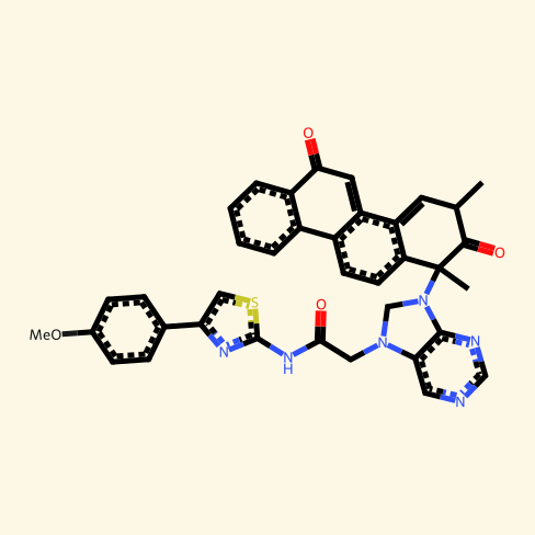 COc1ccc(-c2csc(NC(=O)CN3CN(C4(C)C(=O)C(C)C=c5c4ccc4c5=CC(=O)c5ccccc5-4)c4ncncc43)n2)cc1